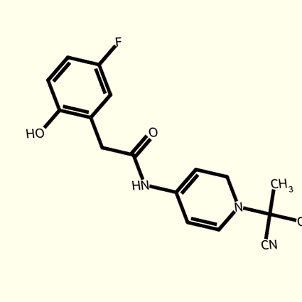 CC(C)(C#N)N1C=CC(NC(=O)Cc2cc(F)ccc2O)=CC1